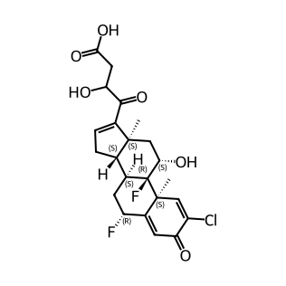 C[C@]12C=C(Cl)C(=O)C=C1[C@H](F)C[C@H]1[C@@H]3CC=C(C(=O)C(O)CC(=O)O)[C@@]3(C)C[C@H](O)[C@@]12F